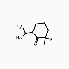 CC(C)N1CCCC(F)(F)C1=O